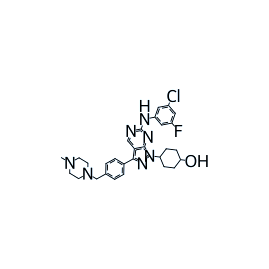 CN1CCN(Cc2ccc(-c3nn(C4CCC(O)CC4)c4nc(Nc5cc(F)cc(Cl)c5)ncc34)cc2)CC1